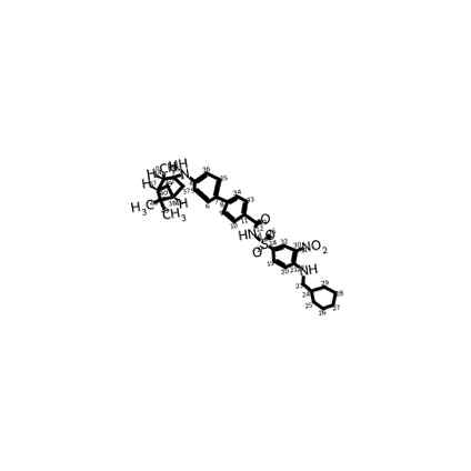 C[C@@H]1[C@@H](Nc2ccc(-c3ccc(C(=O)NS(=O)(=O)c4ccc(NCC5CCCCC5)c([N+](=O)[O-])c4)cc3)cc2)C[C@H]2C[C@@H]1C2(C)C